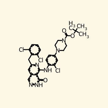 CC(C)(C)OC(=O)N1CCN(c2ccc(Nc3nc(Cc4c(Cl)cccc4Cl)cc4cn[nH]c(=O)c34)c(Cl)c2)CC1